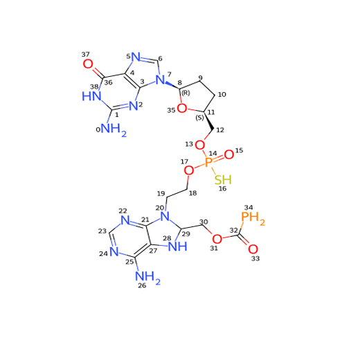 Nc1nc2c(ncn2[C@H]2CC[C@@H](COP(=O)(S)OCCN3c4ncnc(N)c4NC3COC(=O)P)O2)c(=O)[nH]1